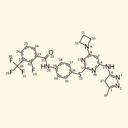 CC1=NN=C(Nc2cc(N3CCC3)nc(Sc3ccc(NC(=O)c4cccc(C(F)(F)F)c4F)cc3)n2)C1